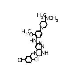 COc1cc(N2CCC(N(C)C)CC2)ccc1Nc1cc2c(nn1)NCCN2Cc1cc(Cl)ccc1Cl